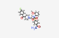 COc1ccccc1N(CCN1CCC(C(=O)c2ccc(F)cc2)CC1)S(=O)(=O)c1ccc(C(N)=O)cc1